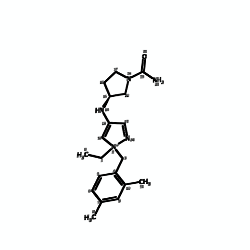 CC[N+]1(Cc2ccc(C)cc2C)C=C(N[C@H]2CCN(C(N)=O)C2)C=N1